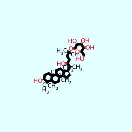 C[C@H](C(O)CCC(C)(C)OC1OC(CO)C(O)C(O)C1O)[C@H]1CC[C@@]2(C)C3=C(CC[C@]12C)[C@@]1(C)CC[C@H](O)C(C)(C)C1CC3